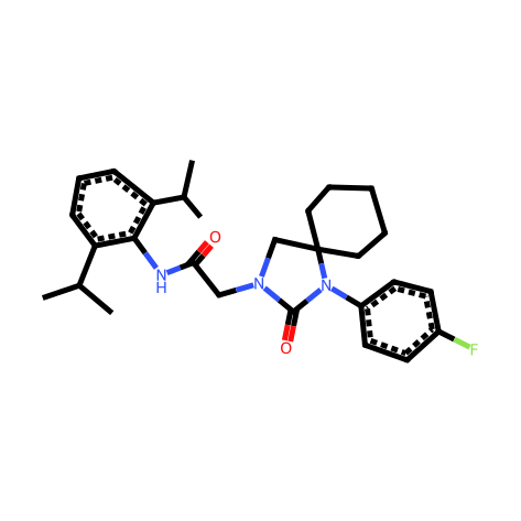 CC(C)c1cccc(C(C)C)c1NC(=O)CN1CC2(CCCCC2)N(c2ccc(F)cc2)C1=O